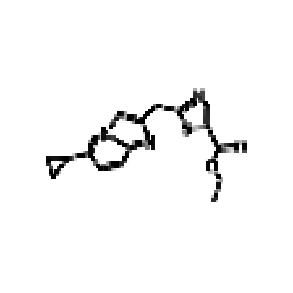 CCOC(=O)c1cnc(Cc2cn3cc(C4CC4)ccc3n2)s1